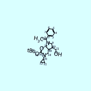 C[C@@H](c1ccccc1)N1C[C@@H](CO)[C@@H](CN(C(=O)OC(C)(C)C)C2CC2)C1